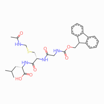 CC(=O)NCSC[C@H](NC(=O)CNC(=O)OCC1c2ccccc2-c2ccccc21)C(=O)N[C@@H](CC(C)C)C(=O)O